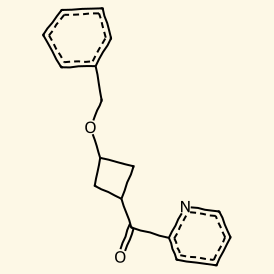 O=C(c1ccccn1)C1CC(OCc2ccccc2)C1